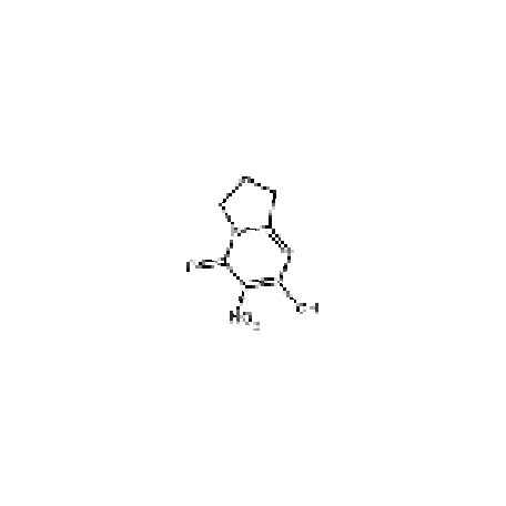 O=c1c([N+](=O)[O-])c(O)cc2n1CCC2